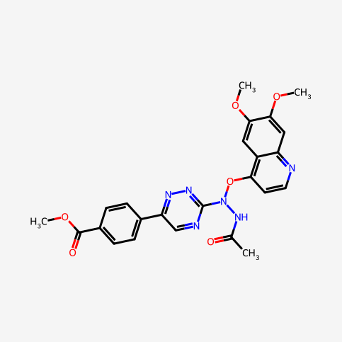 COC(=O)c1ccc(-c2cnc(N(NC(C)=O)Oc3ccnc4cc(OC)c(OC)cc34)nn2)cc1